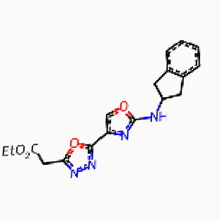 CCOC(=O)Cc1nnc(-c2coc(NC3Cc4ccccc4C3)n2)o1